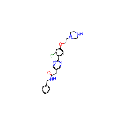 O=C(Cc1cnc(-c2ccc(OCCN3CCNCC3)cc2F)nc1)NCc1ccccc1